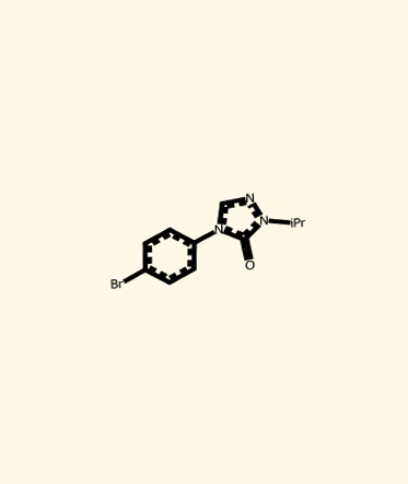 CC(C)n1ncn(-c2ccc(Br)cc2)c1=O